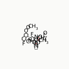 COCOc1cc(-c2ncc3c(N4CC5CCC(C4)N5C(=O)OC(C)(C)C)nc(OCC4(C=O)CC4)nc3c2F)c2c(Cl)c(F)ccc2c1